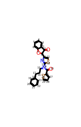 O=C1c2ccccc2OC1c1csc(N(CCCc2ccccc2)C(=O)c2cccs2)n1